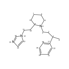 CC(CCN1CCCCC1CCn1ccnc1)c1ccccc1